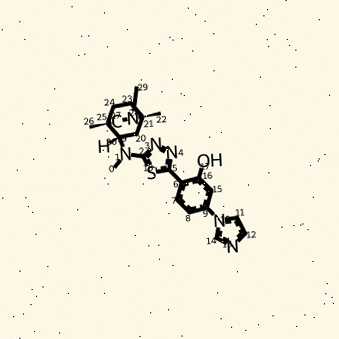 CN(c1nnc(-c2ccc(-n3ccnc3)cc2O)s1)[C@H]1C[C@@]2(C)CC[C@]1(C)CN2C